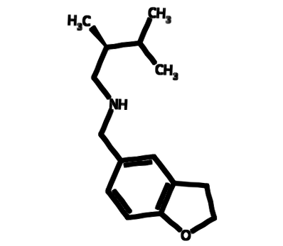 CC(C)[C@H](C)CNCc1ccc2c(c1)CCO2